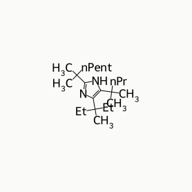 CCCCCC(C)(C)c1nc(C(C)(CC)CC)c(C(C)(C)CCC)[nH]1